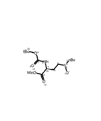 CCCC[S+]([O-])CC[C@H](NC(=O)OC(C)(C)C)C(=O)OC